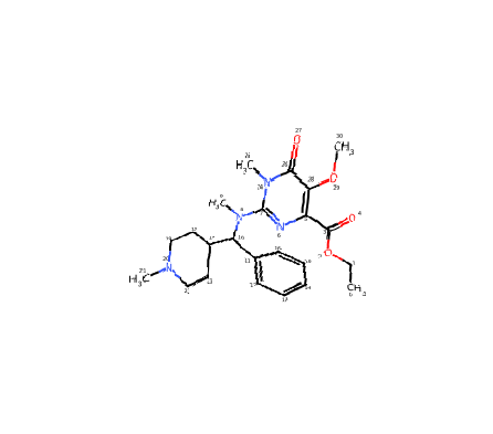 CCOC(=O)c1nc(N(C)C(c2ccccc2)C2CCN(C)CC2)n(C)c(=O)c1OC